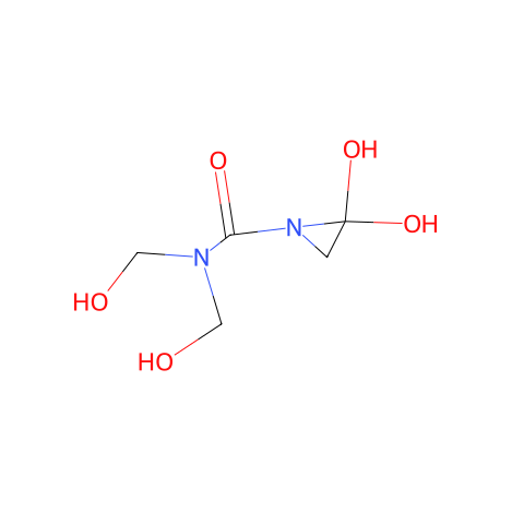 O=C(N(CO)CO)N1CC1(O)O